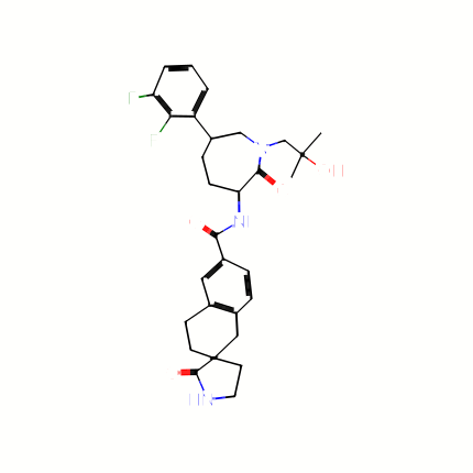 CC(C)(O)CN1CC(c2cccc(F)c2F)CCC(NC(=O)c2ccc3c(c2)CCC2(CCNC2=O)C3)C1=O